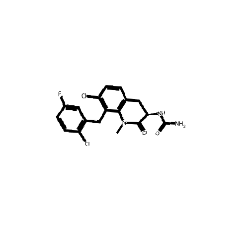 CN1C(=O)[C@H](NC(N)=O)Cc2ccc(Cl)c(Cc3cc(F)ccc3Cl)c21